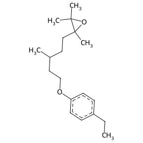 CCc1ccc(OCCC(C)CCC2(C)OC2(C)C)cc1